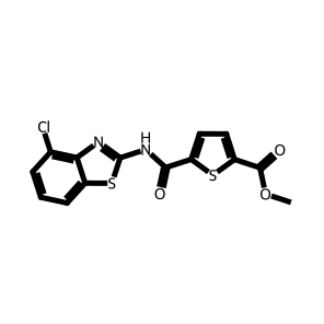 COC(=O)c1ccc(C(=O)Nc2nc3c(Cl)cccc3s2)s1